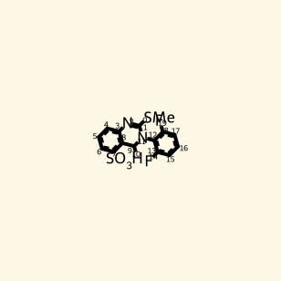 CSC1=Nc2ccccc2C(S(=O)(=O)O)N1c1c(F)cccc1F